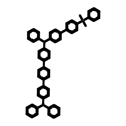 C[Si](C)(c1ccccc1)c1ccc(-c2ccc(N(c3ccccc3)c3ccc(-c4ccc(-c5ccc(N(c6ccccc6)c6ccccc6)cc5)cc4)cc3)cc2)cc1